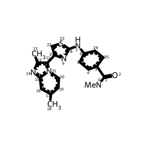 CNC(=O)c1ccc(Nc2nc(-c3c(C)nc4cc(C)ccn34)cs2)cc1